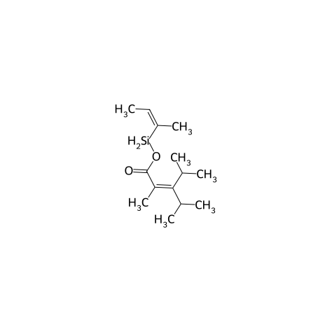 CC=C(C)[SiH2]OC(=O)C(C)=C(C(C)C)C(C)C